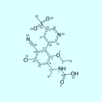 CCOc1c(C(C)NC(=O)O)cc(Cl)c(C#N)c1-c1cncc(S(C)(=O)=O)c1